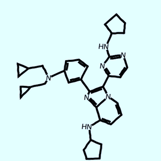 c1cc(-c2nc3c(NC4CCCC4)cccn3c2-c2ccnc(NC3CCCC3)n2)cc(N(CC2CC2)CC2CC2)c1